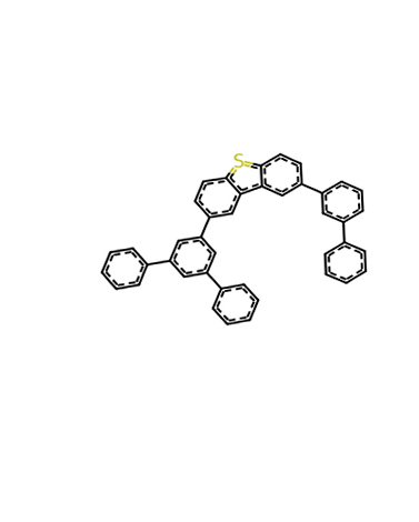 c1ccc(-c2cccc(-c3ccc4sc5ccc(-c6cc(-c7ccccc7)cc(-c7ccccc7)c6)cc5c4c3)c2)cc1